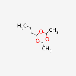 CCCC(OCC)OC(C)[O]